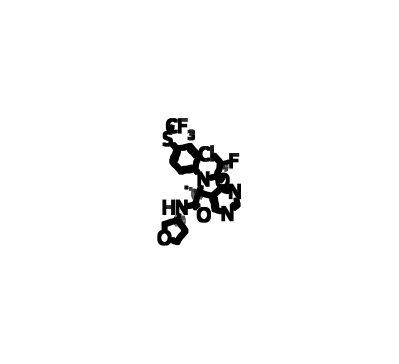 C[C@@](C(=O)N[C@H]1CCOC1)(c1cncnc1)N(C(=O)[C@H](F)Cl)c1ccc(SC(F)(F)F)cc1